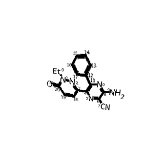 CCn1nc(-c2nc(C#N)c(N)nc2-c2ccccc2)ccc1=O